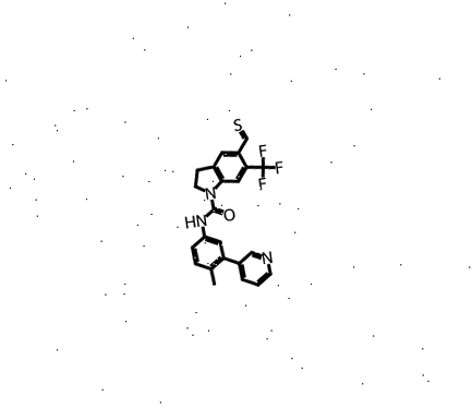 Cc1ccc(NC(=O)N2CCc3cc(C=S)c(C(F)(F)F)cc32)cc1-c1cccnc1